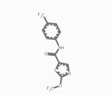 O=C(Nc1ccc(C(F)(F)F)cc1)c1cnc(OC(F)(F)F)s1